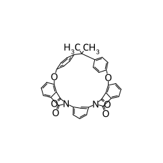 CC1(C)c2ccc(cc2)Oc2cccc3c2C(=O)N(C3=O)c2cccc(c2)N2C(=O)c3cccc(c3C2=O)Oc2ccc1cc2